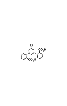 [CH2]Cc1cc(-c2ccccc2C(=O)O)cc(-c2ccccc2C(=O)O)c1